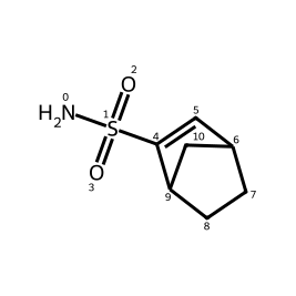 NS(=O)(=O)C1=CC2CCC1C2